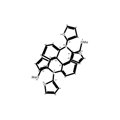 COCOc1cccc(P(c2ccco2)c2ccco2)c1-c1c(OCOC)cccc1P(c1ccco1)c1ccco1